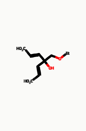 CCOCC(O)(C=CC(=O)O)C=CC(=O)O